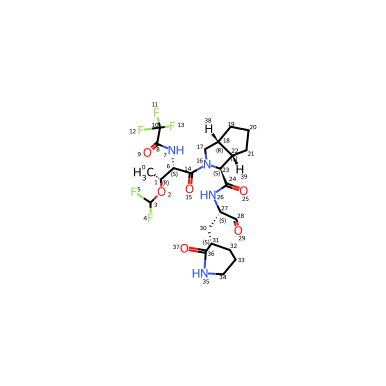 C[C@@H](OC(F)F)[C@H](NC(=O)C(F)(F)F)C(=O)N1C[C@@H]2CCC[C@@H]2[C@H]1C(=O)N[C@H](C=O)C[C@@H]1CCCNC1=O